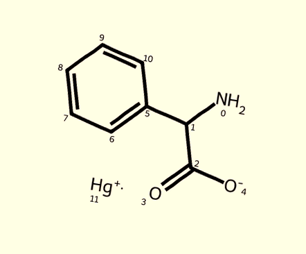 NC(C(=O)[O-])c1ccccc1.[Hg+]